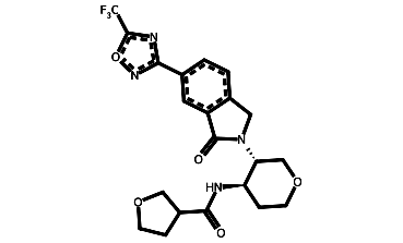 O=C(N[C@@H]1CCOC[C@H]1N1Cc2ccc(-c3noc(C(F)(F)F)n3)cc2C1=O)C1CCOC1